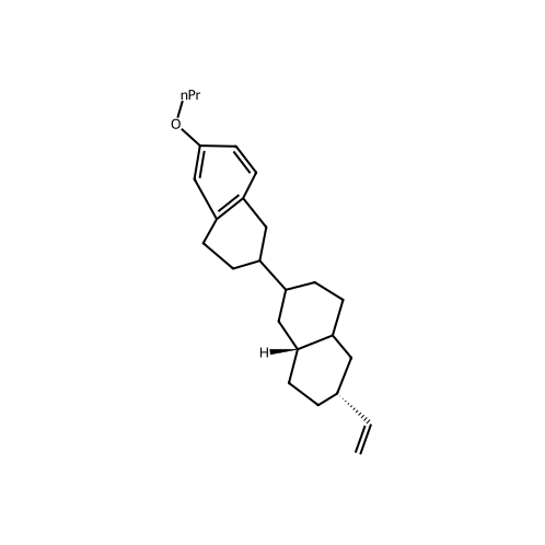 C=C[C@@H]1CC[C@@H]2CC(C3CCc4cc(OCCC)ccc4C3)CCC2C1